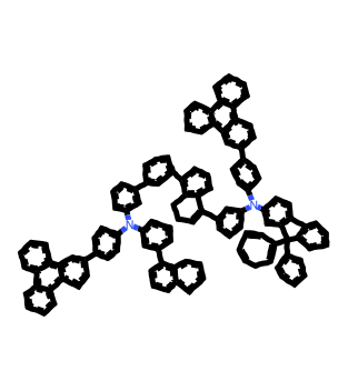 C1=CCC=C(C2(c3ccccc3)c3ccccc3-c3ccc(N(c4ccc(-c5ccc6c7ccccc7c7ccccc7c6c5)cc4)c4cccc(C5=CCCc6c5cccc6-c5cccc(-c6cccc(N(c7ccc(-c8ccc9c%10ccccc%10c%10ccccc%10c9c8)cc7)c7cccc(-c8cccc9ccccc89)c7)c6)c5)c4)cc32)C=C1